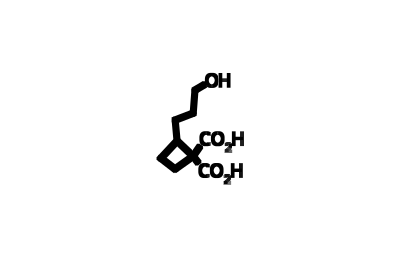 O=C(O)C1(C(=O)O)CCC1CCCO